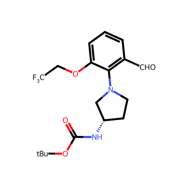 CC(C)(C)OC(=O)N[C@H]1CCN(c2c(C=O)cccc2OCC(F)(F)F)C1